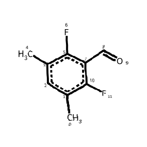 Cc1cc(C)c(F)c(C=O)c1F